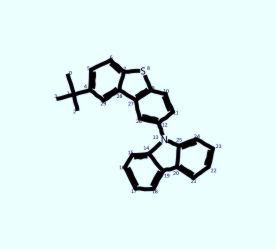 CC(C)(C)c1ccc2sc3ccc(-n4c5ccccc5c5ccccc54)cc3c2c1